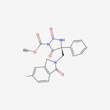 Cc1ccc2c(c1)CN(C[C@]1(c3ccccc3)NC(=O)N(C(=O)OC(C)(C)C)C1=O)C2=O